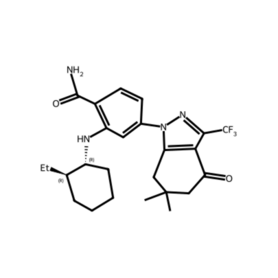 CC[C@@H]1CCCC[C@H]1Nc1cc(-n2nc(C(F)(F)F)c3c2CC(C)(C)CC3=O)ccc1C(N)=O